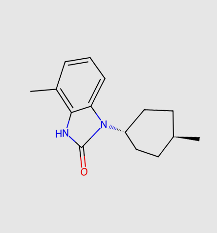 Cc1cccc2c1[nH]c(=O)n2[C@H]1CC[C@H](C)CC1